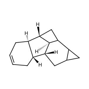 C1=CC[C@@H]2[C@@H](C1)[C@H]1CC3CC3C3C[C@@H]2[C@@H]31